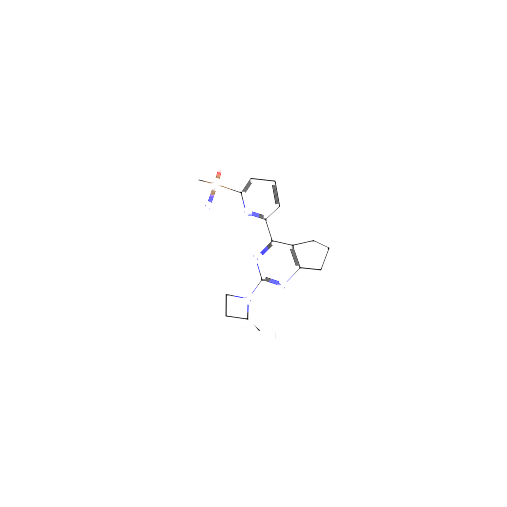 C[C@H]1CCN1c1nc2c(c(-c3cccc(S(C)(=N)=O)n3)n1)CCC2